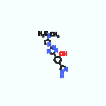 CN(C)C1CCN(c2ncc(-c3ccc(-c4cn[nH]c4)cc3O)nn2)C1